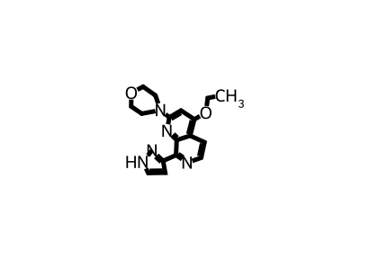 CCOc1cc(N2CCOCC2)nc2c(-c3cc[nH]n3)nccc12